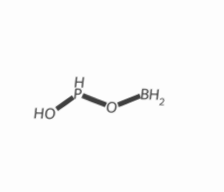 BOPO